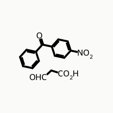 O=C(c1ccccc1)c1ccc([N+](=O)[O-])cc1.O=CCC(=O)O